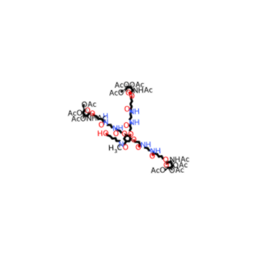 CC(=O)N[C@H]1[C@H](OCCCCC(=O)NCCCNC(=O)CCOC2[C@H](OCCC(=O)NCCCNC(=O)CCCCO[C@@H]3O[C@H](COC(C)=O)[C@H](OC(C)=O)[C@H](OC(C)=O)[C@H]3NC(C)=O)CC(C(=O)N(C)CCCCCCO)C[C@H]2OCCC(=O)NCCCNC(=O)CCCCO[C@@H]2O[C@H](COC(C)=O)[C@H](OC(C)=O)[C@H](OC(C)=O)[C@H]2NC(C)=O)O[C@H](COC(C)=O)[C@H](OC(C)=O)[C@@H]1OC(C)=O